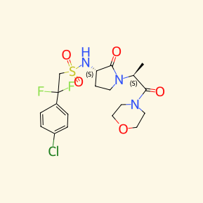 C[C@@H](C(=O)N1CCOCC1)N1CC[C@H](NS(=O)(=O)CC(F)(F)c2ccc(Cl)cc2)C1=O